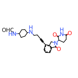 O=CNC1CCC(NCCC#Cc2cccc3c2CN(C2CCC(=O)NC2=O)C3=O)CC1